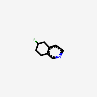 FC1CCc2cnccc2C1